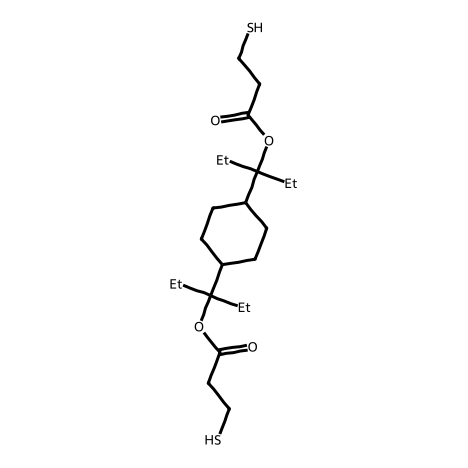 CCC(CC)(OC(=O)CCS)C1CCC(C(CC)(CC)OC(=O)CCS)CC1